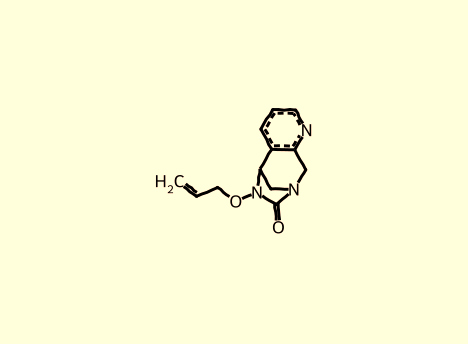 C=CCON1C(=O)N2Cc3ncccc3C1C2